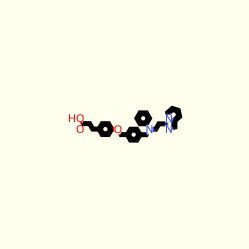 O=C(O)CCc1ccc(OCc2ccc(CN(CCc3ncc4ccccn34)c3ccccc3)cc2)cc1